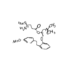 COc1ccc(CCc2ccccc2OC[C@H](CN(C)C)OC(=O)CC[C@@H](N)SC)cc1